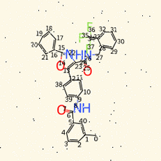 Cc1cccc(C(=O)Nc2ccc(-c3oc(-c4ccccc4)nc3C(=O)NCc3ccccc3C(F)(F)F)cc2)c1